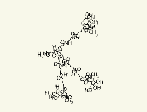 CC(=O)NC[C@H](OCCCCC(=O)NCCCNC(=O)CCOCC(COCCC(=O)NCCCNC(=O)CCCCO[C@@H]1OCC(CO)[C@H](O)C(O)C1NC(C)=O)(COCCC(=O)NCCCNC(=O)CCCCO[C@@H]1OC(C2CC(O)[C@@H](O)C2CO)C1(C)NC(C)=O)NC(=O)CON)OC(O)C(CO)C(C)O